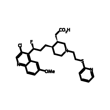 COc1ccc2ncc(Cl)c([C@@H](F)CC[C@@H]3CCN(CCSc4ccccn4)C[C@H]3CC(=O)O)c2c1